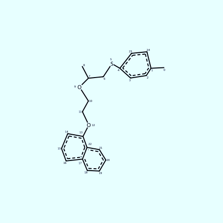 Cc1ccc(SCC(C)OCCOc2cccc3ccccc23)cc1